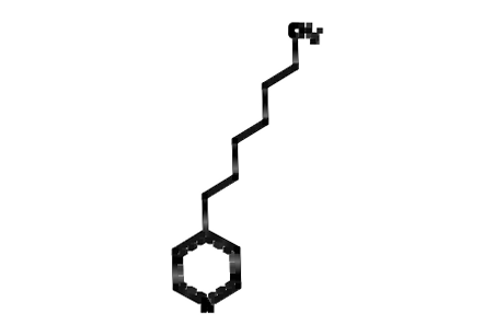 [CH2]CCCCCCc1ccncc1